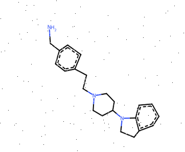 NCc1ccc(CCN2CCC(N3CCc4ccccc43)CC2)cc1